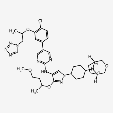 COCCC(C)Oc1nn(C2CCC(N3[C@@H]4CC[C@H]3COC4)CC2)cc1Nc1ncc(-c2ccc(Cl)c(OC(C)Cn3cnnn3)c2)cn1